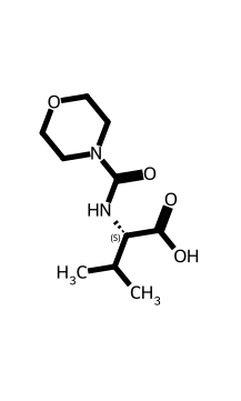 CC(C)[C@H](NC(=O)N1CCOCC1)C(=O)O